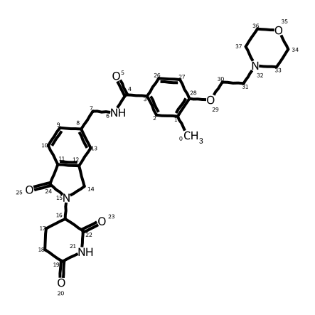 Cc1cc(C(=O)NCc2ccc3c(c2)CN(C2CCC(=O)NC2=O)C3=O)ccc1OCCN1CCOCC1